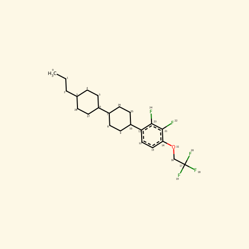 CCCC1CCC(C2CCC(c3ccc(OCC(F)(F)F)c(F)c3F)CC2)CC1